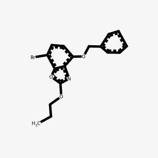 CCCOc1nc2c(OCc3ccccc3)ccc(Br)c2o1